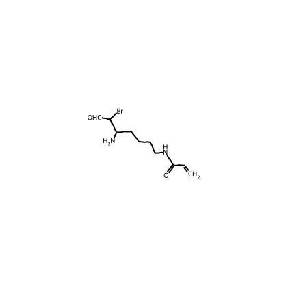 C=CC(=O)NCCCCC(N)C(Br)C=O